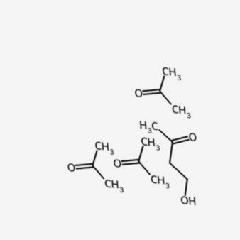 CC(=O)CCO.CC(C)=O.CC(C)=O.CC(C)=O